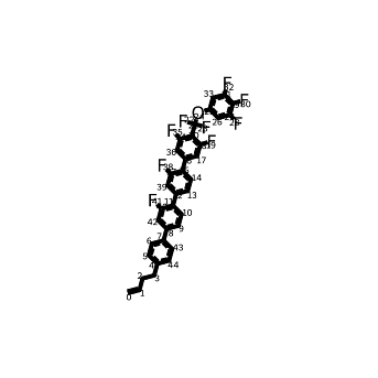 C=CCCc1ccc(-c2ccc(-c3ccc(-c4cc(F)c(C(F)(F)Oc5cc(F)c(F)c(F)c5)c(F)c4)c(F)c3)c(F)c2)cc1